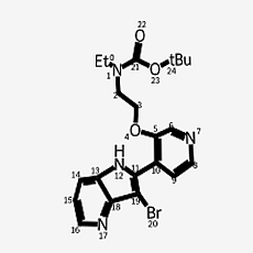 CCN(CCOc1cnccc1-c1[nH]c2cccnc2c1Br)C(=O)OC(C)(C)C